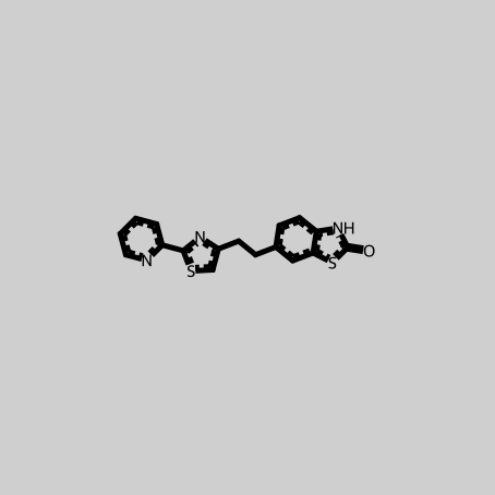 O=c1[nH]c2ccc(CCc3csc(-c4ccccn4)n3)cc2s1